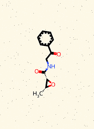 C[C@H]1O[C@H]1C(=O)NCC(=O)c1ccccc1